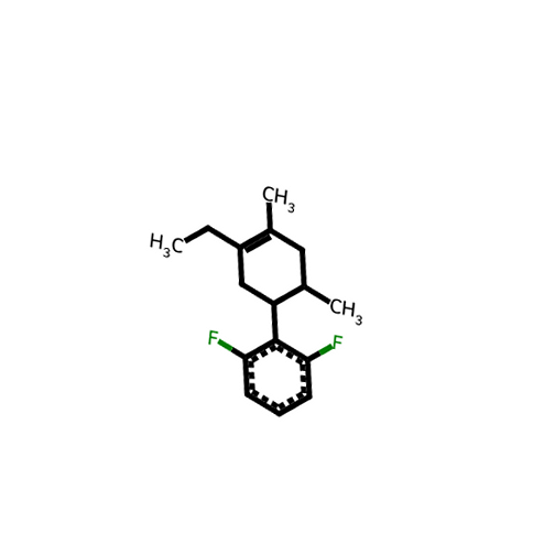 CCC1=C(C)CC(C)C(c2c(F)cccc2F)C1